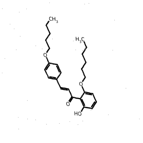 CCCCCCOc1cccc(O)c1C(=O)/C=C/c1ccc(OCCCCC)cc1